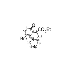 CCOC(=O)C1=C2C(=O)C=CC(Br)=C2N2CCOCC2C1